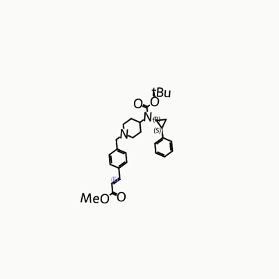 COC(=O)/C=C/c1ccc(CN2CCC(N(C(=O)OC(C)(C)C)[C@@H]3C[C@H]3c3ccccc3)CC2)cc1